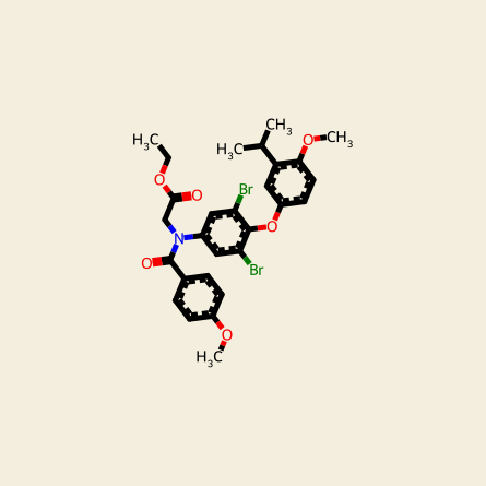 CCOC(=O)CN(C(=O)c1ccc(OC)cc1)c1cc(Br)c(Oc2ccc(OC)c(C(C)C)c2)c(Br)c1